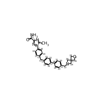 Cc1nc(C(N)=O)nn1-c1ccc(Cc2ccc(-c3ccc(CN4CC5(COC5)C4)cc3)cc2)cc1